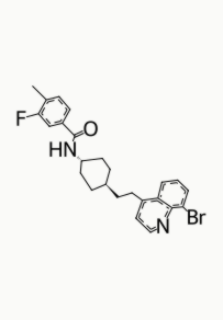 Cc1ccc(C(=O)N[C@H]2CC[C@H](CCc3ccnc4c(Br)cccc34)CC2)cc1F